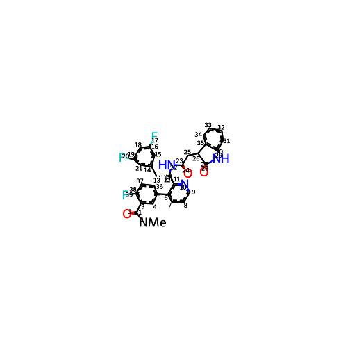 CNC(=O)c1cc(-c2cccnc2[C@H](Cc2cc(F)cc(F)c2)NC(=O)CC2C(=O)Nc3ccccc32)ccc1F